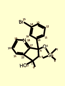 CC1(O)CC(O[Si](C)(C)C)(c2cccc(Br)c2)c2ncccc21